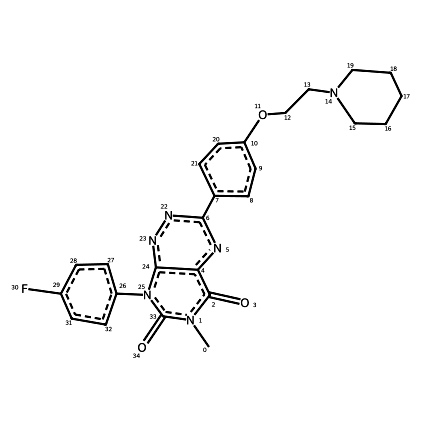 Cn1c(=O)c2nc(-c3ccc(OCCN4CCCCC4)cc3)nnc2n(-c2ccc(F)cc2)c1=O